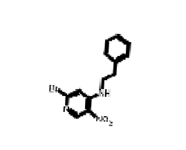 O=[N+]([O-])c1cnc(Br)cc1NCCc1ccccc1